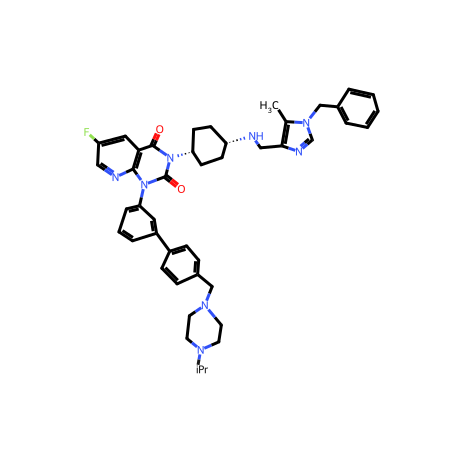 Cc1c(CN[C@H]2CC[C@@H](n3c(=O)c4cc(F)cnc4n(-c4cccc(-c5ccc(CN6CCN(C(C)C)CC6)cc5)c4)c3=O)CC2)ncn1Cc1ccccc1